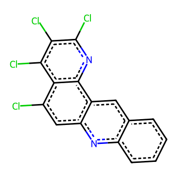 Clc1nc2c(c(Cl)cc3nc4ccccc4cc32)c(Cl)c1Cl